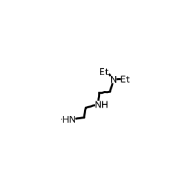 CCN(CC)CCNCC[NH]